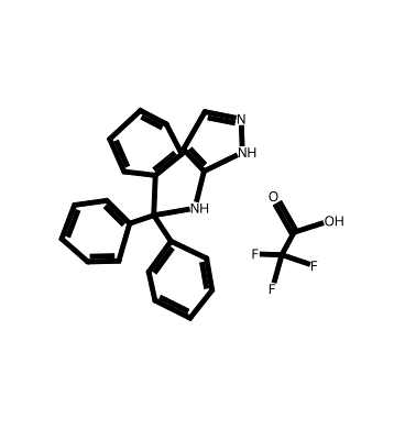 O=C(O)C(F)(F)F.c1ccc(C(Nc2ccn[nH]2)(c2ccccc2)c2ccccc2)cc1